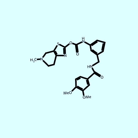 COc1ccc(C(=O)NCc2cccc(NC(=O)Oc3nc4c(s3)CN(C)CC4)c2)cc1OC